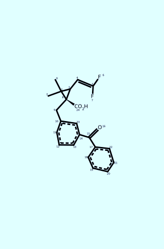 CC1(C)C(C=C(F)F)[C@@]1(Cc1cccc(C(=O)c2ccccc2)c1)C(=O)O